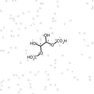 O=C(O)OC(O)C(O)OC(=O)O